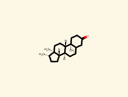 C[C@H]1CC[C@H]2[C@@H]3CCC4CC(=O)CC[C@]4(C)[C@H]3CC[C@]12C